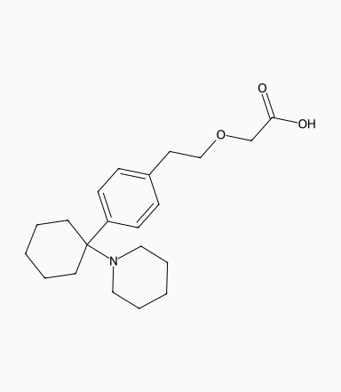 O=C(O)COCCc1ccc(C2(N3CCCCC3)CCCCC2)cc1